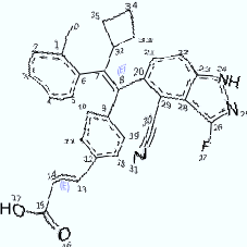 Cc1ccccc1/C(=C(\c1ccc(/C=C/C(=O)O)cc1)c1ccc2[nH]nc(F)c2c1C#N)C1CCC1